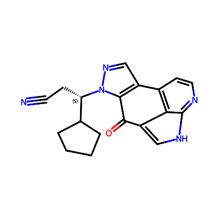 N#CC[C@@H](C1CCCC1)n1ncc2c1C(=O)c1c[nH]c3nccc-2c13